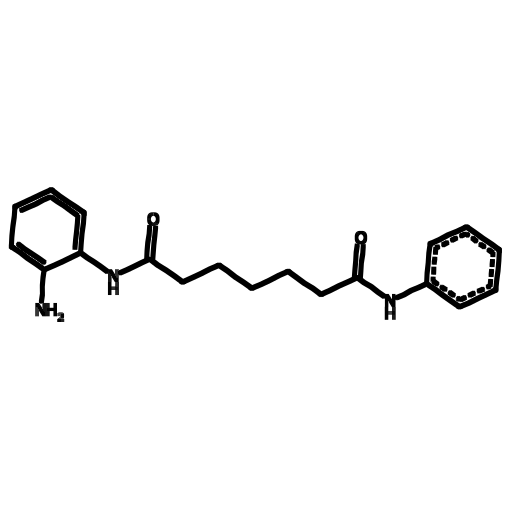 NC1=CC=C=C=C1NC(=O)CCCCCC(=O)Nc1ccccc1